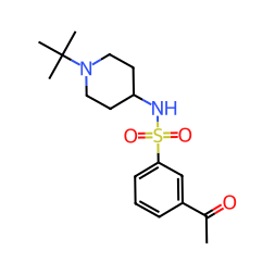 CC(=O)c1cccc(S(=O)(=O)NC2CCN(C(C)(C)C)CC2)c1